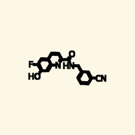 N#Cc1cccc(CNC(=O)c2ccc3cc(F)c(O)cc3n2)c1